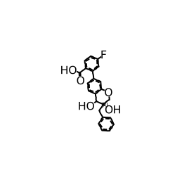 O=C(O)c1ccc(F)cc1-c1ccc2c(c1)OC[C@](O)(Cc1ccccc1)C2O